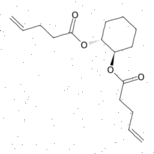 C=CCCC(=O)O[C@@H]1CCCC[C@H]1OC(=O)CCC=C